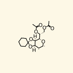 CC(=O)OC[C@@H](OC(C)=O)[C@@H]1O[CH][CH][C@H]2OC3(CCCCC3)O[C@@H]12